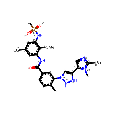 COc1c(NC(=O)c2ccc(C)c(N3C=C(c4cnc(C(C)(C)C)n4C)NN3)c2)cc(C(C)(C)C)cc1NS(C)(=O)=O